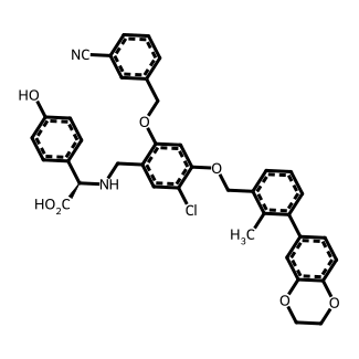 Cc1c(COc2cc(OCc3cccc(C#N)c3)c(CN[C@@H](C(=O)O)c3ccc(O)cc3)cc2Cl)cccc1-c1ccc2c(c1)OCCO2